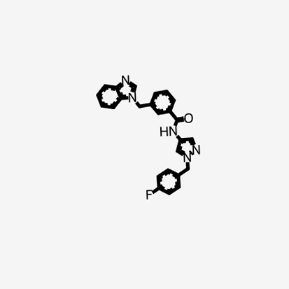 O=C(Nc1cnn(Cc2ccc(F)cc2)c1)c1cccc(Cn2cnc3ccccc32)c1